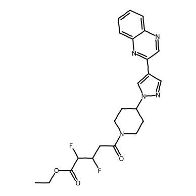 CCOC(=O)C(F)C(F)CC(=O)N1CCC(n2cc(-c3cnc4ccccc4n3)cn2)CC1